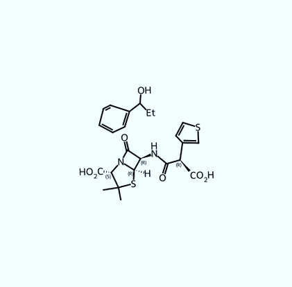 CC1(C)S[C@@H]2[C@H](NC(=O)[C@H](C(=O)O)c3ccsc3)C(=O)N2[C@H]1C(=O)O.CCC(O)c1ccccc1